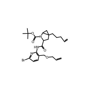 C=CCCCC12CC(C(=O)Nc3nc(Br)ccc3COCC=C)N(C(=O)OC(C)(C)C)C1C2